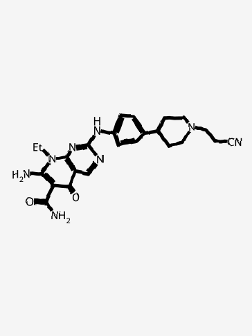 CCn1c(N)c(C(N)=O)c(=O)c2cnc(Nc3ccc(C4CCN(CCC#N)CC4)cc3)nc21